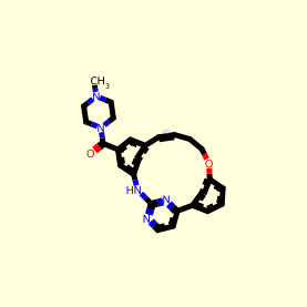 CN1CCN(C(=O)c2cc3cc(c2)Nc2nccc(n2)-c2cccc(c2)OCC/C=C\3)CC1